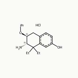 CCC1(CC)c2cc(O)ccc2C[C@H](OC(C)C)[C@H]1N.Cl